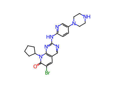 O=c1c(Br)cc2cnc(Nc3ccc(N4CCNCC4)cn3)nc2n1C1CCCC1